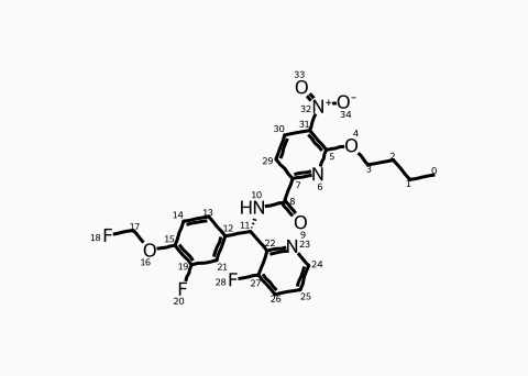 CCCCOc1nc(C(=O)N[C@@H](c2ccc(OCF)c(F)c2)c2ncccc2F)ccc1[N+](=O)[O-]